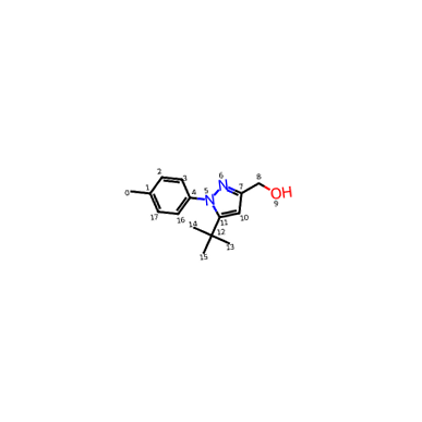 Cc1ccc(-n2nc(CO)cc2C(C)(C)C)cc1